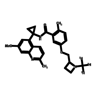 [2H]C([2H])([2H])N1CCC1COc1ccc(C)c(C(=O)NC2(c3cc(OC)cc4nc(C)ccc34)CC2)c1